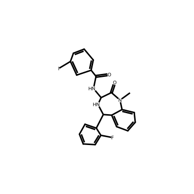 CN1C(=O)C(NC(=O)c2cccc(I)c2)NC(c2ccccc2F)c2ccccc21